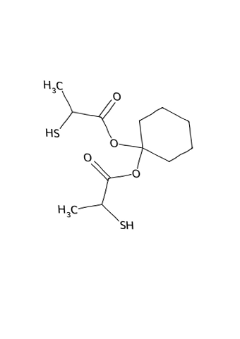 CC(S)C(=O)OC1(OC(=O)C(C)S)CCCCC1